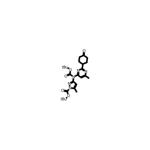 Cc1cc(N(C(=O)OC(C)(C)C)c2cc(C)n(C(=O)OC(C)(C)C)n2)nc(C2CCC(=O)CC2)n1